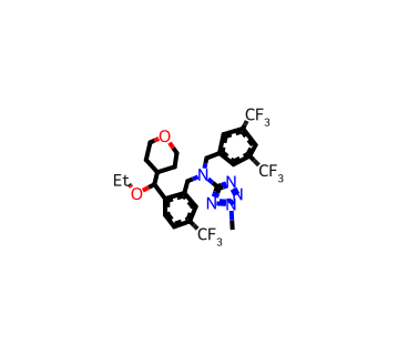 CCOC(c1ccc(C(F)(F)F)cc1CN(Cc1cc(C(F)(F)F)cc(C(F)(F)F)c1)c1nnn(C)n1)C1CCOCC1